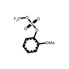 COc1c[c]ccc1OS(=O)(=O)OC(F)(F)F